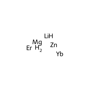 [Er].[LiH].[MgH2].[Yb].[Zn]